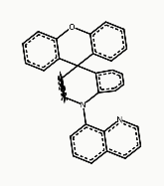 c1ccc2c(c1)Oc1ccccc1C21c2ccccc2N(c2cccc3cccnc23)c2ccccc21